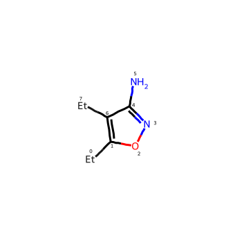 CCc1onc(N)c1CC